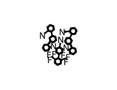 N#Cc1ccccc1-c1ccc2c(c1)c1ccccc1n2-c1cc(-c2c(C(F)(F)F)cccc2C(F)(F)F)cc(-n2c3ccccc3c3cc(-c4ccccc4C#N)ccc32)c1C#N